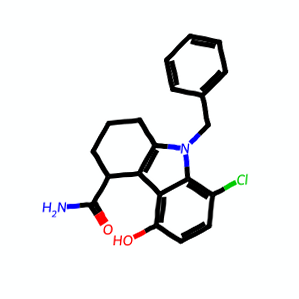 NC(=O)C1CCCc2c1c1c(O)ccc(Cl)c1n2Cc1ccccc1